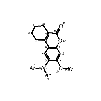 CC(=O)N(C(C)=O)c1cc2c3c(c(=O)oc2cc1OC(C)C)CCCC3